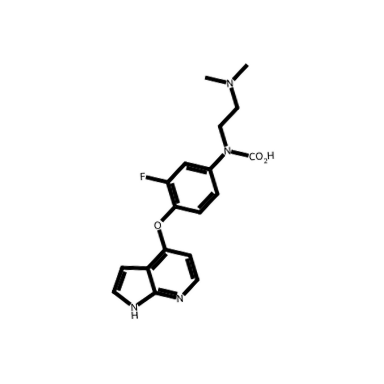 CN(C)CCN(C(=O)O)c1ccc(Oc2ccnc3[nH]ccc23)c(F)c1